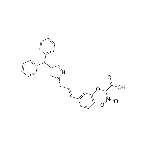 O=C(O)C(Oc1cccc(C=CCn2cc(C(c3ccccc3)c3ccccc3)cn2)c1)[N+](=O)[O-]